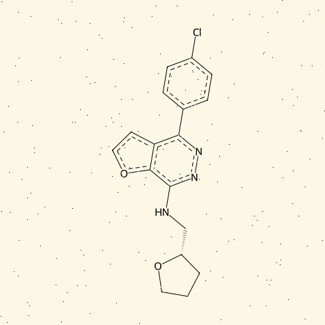 Clc1ccc(-c2nnc(NC[C@@H]3CCCO3)c3occc23)cc1